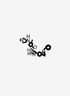 Cc1cc(C(=O)Nc2cc(-c3ccc4ccn(Cc5ccccc5)c4c3)n[nH]2)ccc1NC1CCN(C)CC1